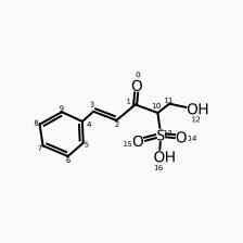 O=C(C=Cc1ccccc1)C(CO)S(=O)(=O)O